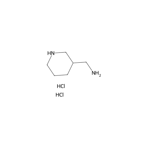 Cl.Cl.NCC1CCCNC1